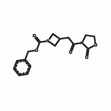 O=C(OCc1ccccc1)N1CC(CC(=O)N2CCOC2=O)C1